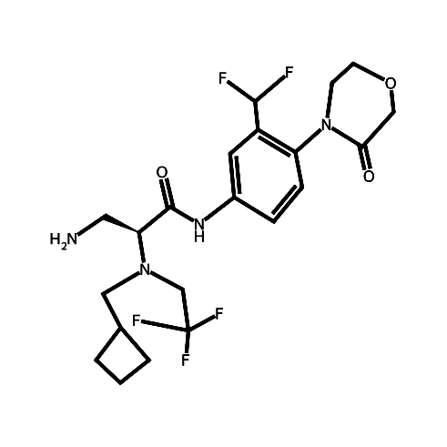 NC[C@@H](C(=O)Nc1ccc(N2CCOCC2=O)c(C(F)F)c1)N(CC1CCC1)CC(F)(F)F